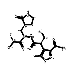 Cc1onc(C(N)=O)c1[C@H](CC(C)(C)C)C(=O)NN(C[C@@H]1CCNC1=O)C(=O)[C@H](F)Cl